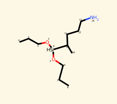 CCCO[SiH](OCCC)C(C)CCCN